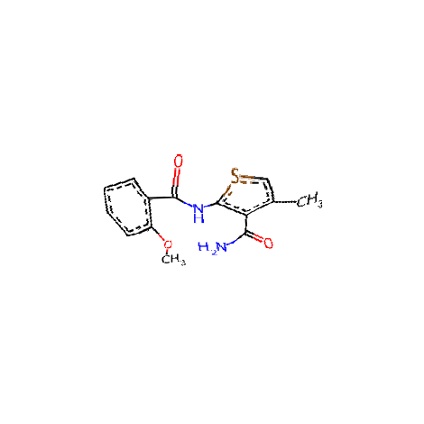 COc1ccccc1C(=O)Nc1scc(C)c1C(N)=O